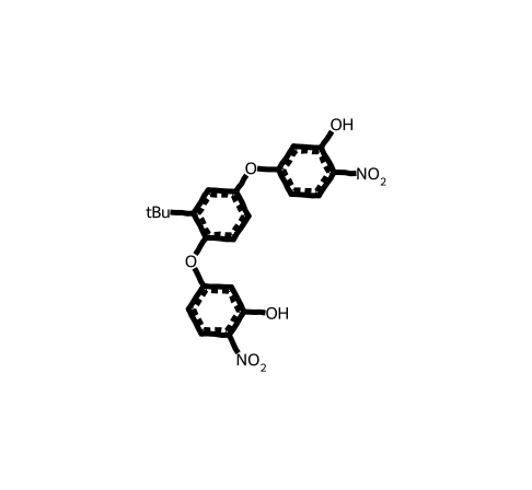 CC(C)(C)c1cc(Oc2ccc([N+](=O)[O-])c(O)c2)ccc1Oc1ccc([N+](=O)[O-])c(O)c1